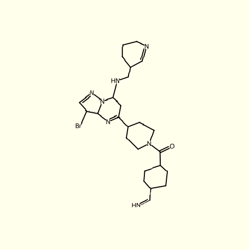 N=CC1CCC(C(=O)N2CCC(C3=NC4C(Br)C=NN4C(NCC4C=NCCC4)C3)CC2)CC1